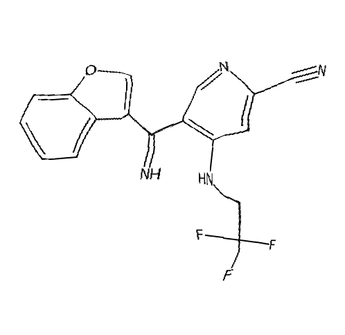 N#Cc1cc(NCC(F)(F)F)c(C(=N)c2coc3ccccc23)cn1